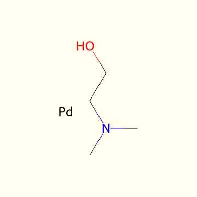 CN(C)CCO.[Pd]